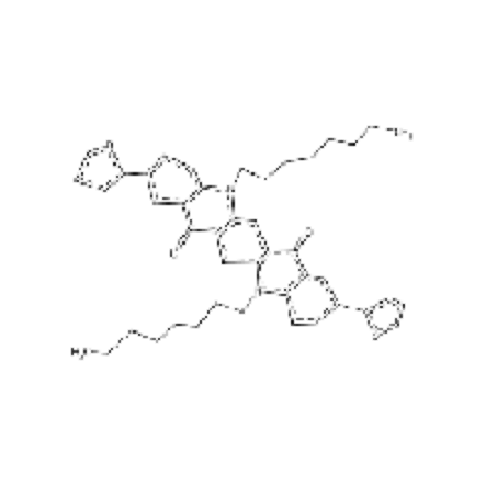 CCCCCCCCn1c2ccc(-c3ccco3)cc2c(=O)c2cc3c(cc21)c(=O)c1cc(-c2ccco2)ccc1n3CCCCCCCC